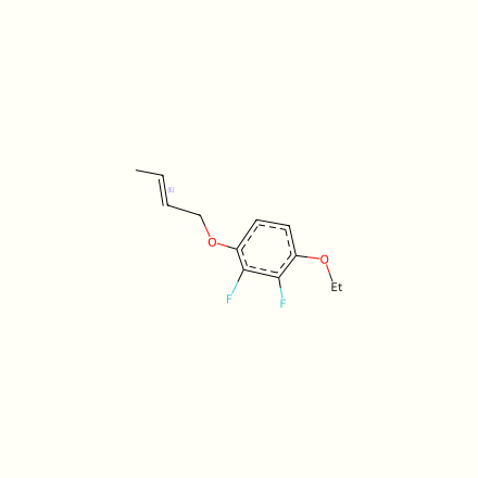 C/C=C/COc1ccc(OCC)c(F)c1F